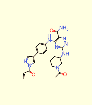 C=CC(=O)n1cc(-c2ccc(Nc3nc(N[C@@H]4CCCN(C(C)=O)C4)nnc3C(N)=O)cc2)cn1